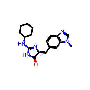 Cn1cnc2ccc(/C=C3\N=C(NC4CCCCC4)NC3=O)cc21